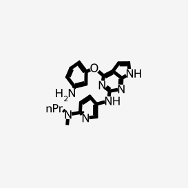 CCCN(C)c1ccc(Nc2nc(Oc3cccc(N)c3)c3cc[nH]c3n2)cn1